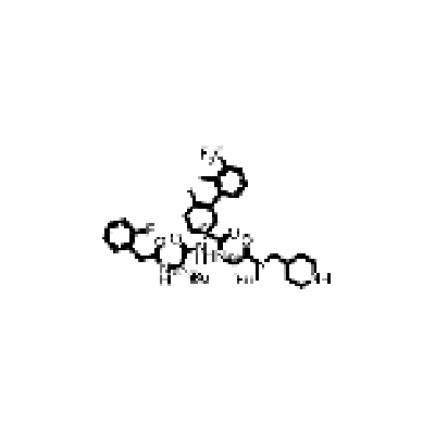 CCC(C)[C@H](NC(=O)Cc1ccccc1F)C(=O)N[C@]1(C(=O)N[C@H](C(=O)NCC2CCNCC2)C(C)CC)CCC(C)=C(c2cccc(C(F)(F)F)c2C)C1